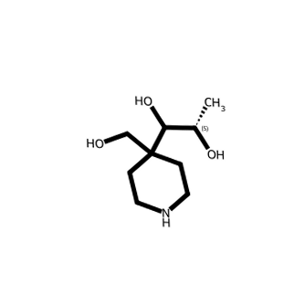 C[C@H](O)C(O)C1(CO)CCNCC1